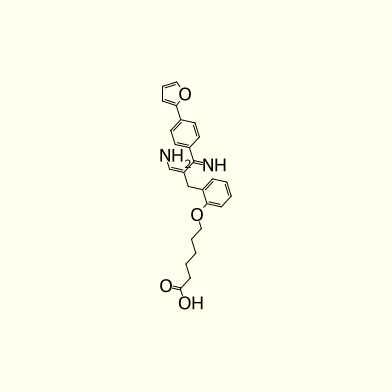 N=C(/C(=C\N)Cc1ccccc1OCCCCCC(=O)O)c1ccc(-c2ccco2)cc1